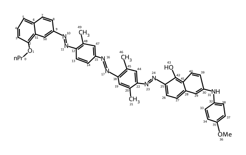 CCCOc1cccc2ccc(N=Nc3ccc(N=Nc4cc(C)c(N=Nc5ccc6cc(Nc7ccc(OC)cc7)ccc6c5O)cc4C)cc3C)cc12